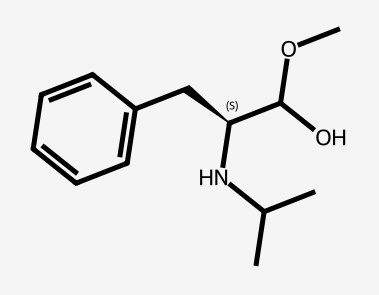 COC(O)[C@H](Cc1ccccc1)NC(C)C